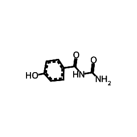 NC(=O)NC(=O)c1ccc(O)cc1